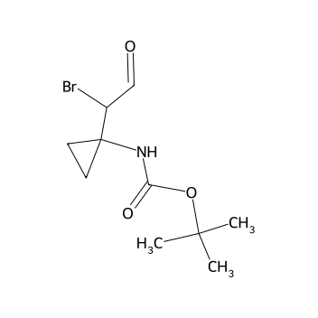 CC(C)(C)OC(=O)NC1(C(Br)C=O)CC1